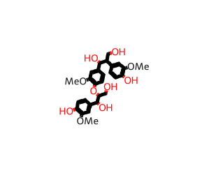 COc1cc(C(O)C(CO)Oc2ccc(C(O)C(CO)c3ccc(O)c(OC)c3)cc2OC)ccc1O